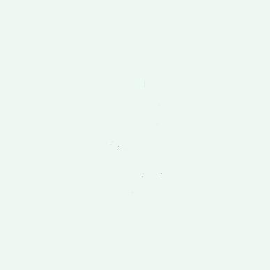 [2H]C1=C(c2ccc(Cl)cc2)CCC(C)(C)C1